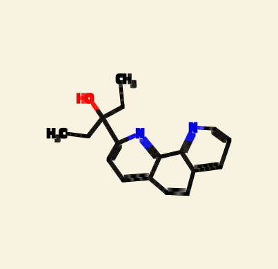 CCC(O)(CC)c1ccc2ccc3cccnc3c2n1